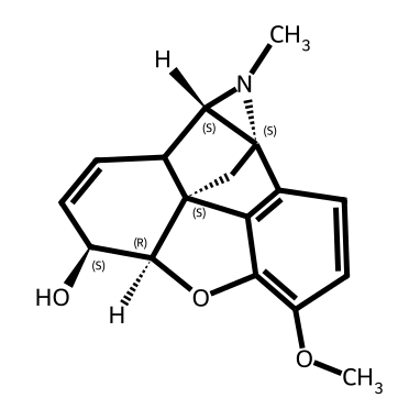 COc1ccc2c3c1O[C@H]1[C@@H](O)C=CC4[C@@H]5N(C)[C@@]25C[C@@]341